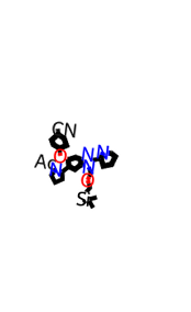 CC(=O)N1CCCC1c1cc2c(cc1Oc1ccc(C#N)cc1)nc(-c1ccccn1)n2COCC[Si](C)(C)C